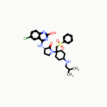 CC(C)CNC1CCC(CS(=O)(=O)c2ccccc2)(N2CC[C@H](Nc3nc(O)nc4ccc(Cl)cc34)C2=O)CC1